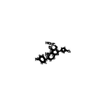 O=C(O)Cn1c(-c2ccc(Cl)s2)nc2c(c1=O)N[C@H](c1ccc(F)cc1)CC2